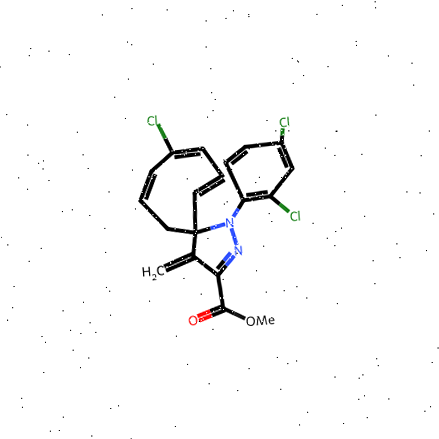 C=C1C(C(=O)OC)=NN(c2ccc(Cl)cc2Cl)C12/C=C/C=C(Cl)\C=C/C2